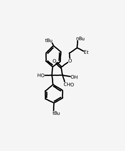 CCCCC(CC)COC(=O)C(O)(C=O)C(O)(c1ccc(C(C)(C)C)cc1)c1ccc(C(C)(C)C)cc1